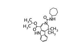 CC(C)OC(=O)C1=CN(C(=O)NC2CCCCCC2)CC(C)(C)c2c1[nH]c1ccccc21